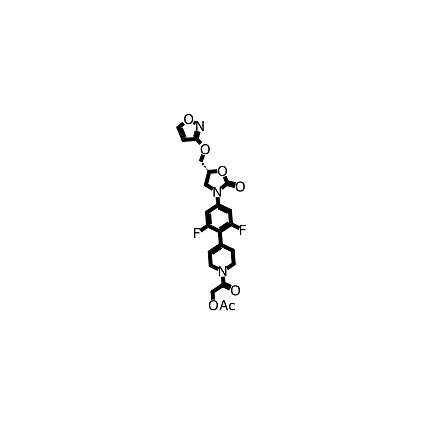 CC(=O)OCC(=O)N1CC=C(c2c(F)cc(N3C[C@H](COc4ccon4)OC3=O)cc2F)CC1